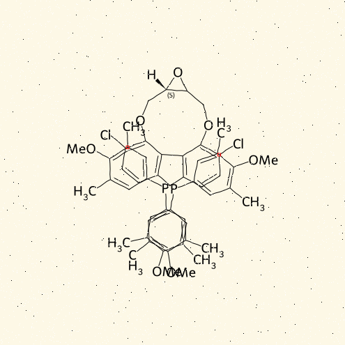 COc1c(C)cc(P(c2cc(C)c(OC)c(C)c2)c2ccc(Cl)c3c2-c2c(P(c4cc(C)c(OC)c(C)c4)c4cc(C)c(OC)c(C)c4)ccc(Cl)c2OC[C@@H]2OC2CO3)cc1C